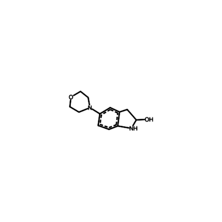 OC1Cc2cc(N3CCOCC3)ccc2N1